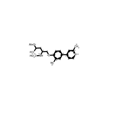 COC(C)CC(COc1ccc(-c2ccnc(C)c2)cc1C#N)NC(=O)O